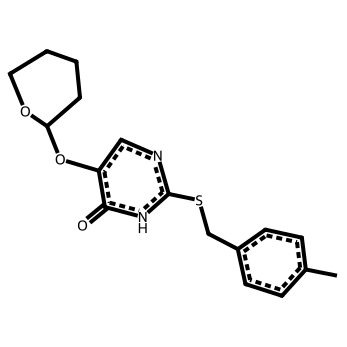 Cc1ccc(CSc2ncc(OC3CCCCO3)c(=O)[nH]2)cc1